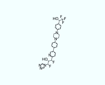 OC(C(F)c1ccc(-c2ccc(N3CCN(c4ccc(C(O)C(F)(F)F)cc4)CC3)cc2)cn1)C(F)n1cnnc1